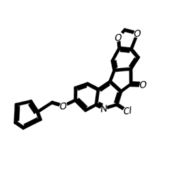 O=C1c2cc3c(cc2-c2c1c(Cl)nc1cc(OCc4ccccc4)ccc21)OCO3